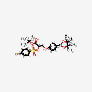 CC(C)(C)OC(=O)C(COc1ccc(B2OC(C)(C)C(C)(C)O2)cc1)OS(=O)(=O)c1ccc(Br)cc1